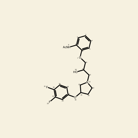 CC(=O)Nc1ccccc1OCC(O)CN1CCC(Oc2ccc(F)c(F)c2)C1